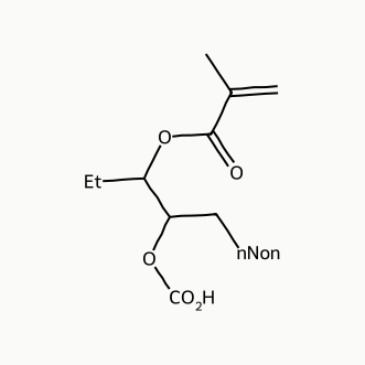 C=C(C)C(=O)OC(CC)C(CCCCCCCCCC)OC(=O)O